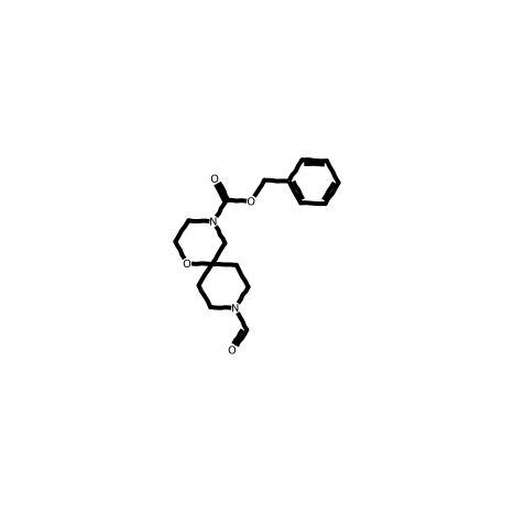 O=CN1CCC2(CC1)CN(C(=O)OCc1ccccc1)CCO2